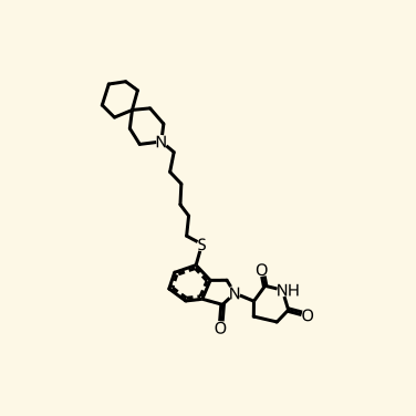 O=C1CCC(N2Cc3c(SCCCCCCN4CCC5(CCCCC5)CC4)cccc3C2=O)C(=O)N1